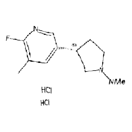 CNN1CC[C@@H](c2cnc(F)c(C)c2)C1.Cl.Cl